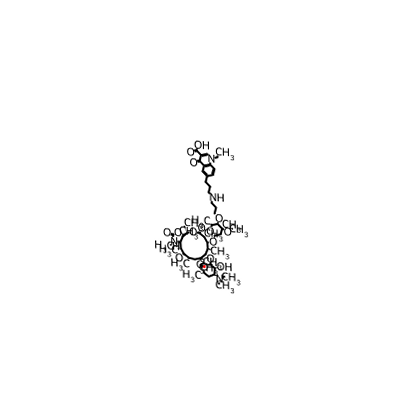 CC[C@@H]1OC(=O)[C@H](C)[C@H](O[C@@H]2C[C@](C)(OC)[C@H](OCCCNCCCc3ccc4c(c3)c(=O)c(C(=O)O)cn4CC)[C@H](C)O2)[C@@H](C)[C@H](O[C@H]2O[C@@H](C)C[C@@H](N(C)C)[C@H]2O)[C@](C)(OC)C[C@H](C)C(=O)[C@H](C)[C@H]2N(C)C(=O)O[C@@]12C